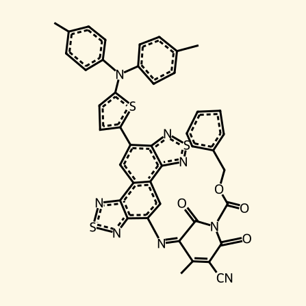 CC1=C(C#N)C(=O)N(C(=O)OCc2ccccc2)C(=O)/C1=N\c1cc2c(cc(-c3ccc(N(c4ccc(C)cc4)c4ccc(C)cc4)s3)c3nsnc32)c2nsnc12